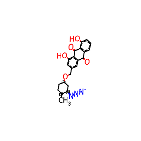 C[C@H]1CC[C@@H](OCc2cc(O)c3c(c2)C(=O)c2cccc(O)c2C3=O)C[C@H]1N=[N+]=[N-]